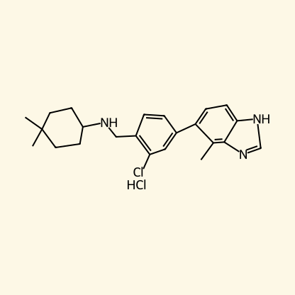 Cc1c(-c2ccc(CNC3CCC(C)(C)CC3)c(Cl)c2)ccc2[nH]cnc12.Cl